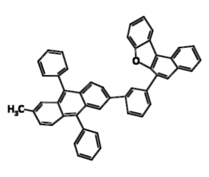 Cc1ccc2c(-c3ccccc3)c3cc(-c4cccc(-c5cc6ccccc6c6c5oc5ccccc56)c4)ccc3c(-c3ccccc3)c2c1